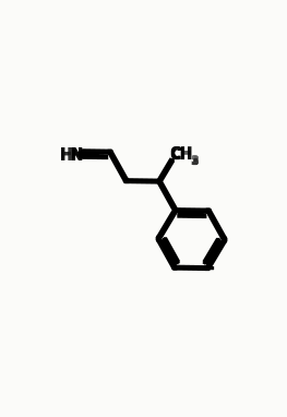 CC(CC=N)c1cc[c]cc1